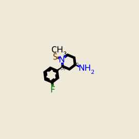 CSN1CC[C@@H](N)C[C@H]1c1cccc(F)c1